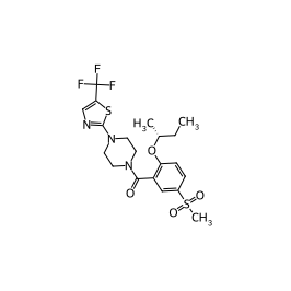 CC[C@@H](C)Oc1ccc(S(C)(=O)=O)cc1C(=O)N1CCN(c2ncc(C(F)(F)F)s2)CC1